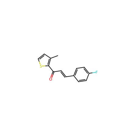 Cc1ccsc1C(=O)C=Cc1ccc(F)cc1